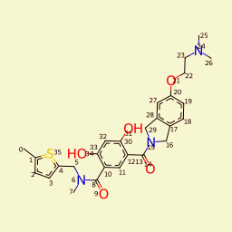 Cc1ccc(CN(C)C(=O)c2cc(C(=O)N3Cc4ccc(OCCN(C)C)cc4C3)c(O)cc2O)s1